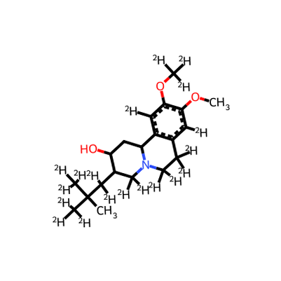 [2H]c1c(OC([2H])([2H])[2H])c(OC)c([2H])c2c1C1CC(O)C(C([2H])([2H])C(C)(C([2H])([2H])[2H])C([2H])([2H])[2H])C([2H])([2H])N1C([2H])([2H])C2([2H])[2H]